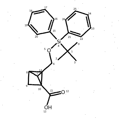 CC(C)(C)[Si](OCC1C2CC1(C(=O)O)C2)(c1ccccc1)c1ccccc1